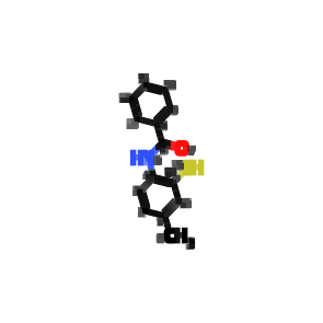 Cc1ccc(NC(=O)c2ccccc2)c(S)c1